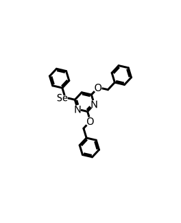 c1ccc(COc2cc([Se]c3ccccc3)nc(OCc3ccccc3)n2)cc1